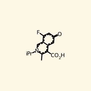 Cc1c(C(=O)O)c2cc(=O)cc(F)c-2cn1C(C)C